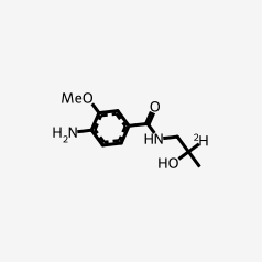 [2H]C(C)(O)CNC(=O)c1ccc(N)c(OC)c1